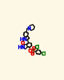 O=C1NCc2c(OS(=O)(=O)c3ccc(Cl)cc3Cl)ccc(-c3cc4cc(CN5CCCCC5)ccc4[nH]3)c21